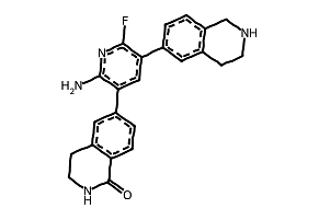 Nc1nc(F)c(-c2ccc3c(c2)CCNC3)cc1-c1ccc2c(c1)CCNC2=O